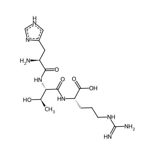 C[C@@H](O)[C@H](NC(=O)[C@@H](N)Cc1c[nH]cn1)C(=O)N[C@@H](CCCNC(=N)N)C(=O)O